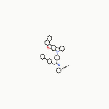 CC#Cc1ccccc1/N=C(\Cc1ccc(-c2ccccc2)cc1)c1ccc(-n2c3ccccc3c3cc4c(cc32)oc2ccc3ccccc3c24)cc1